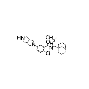 O=C(NCC12CCCC(CCC1)C2)c1cc(N2CC3CNCC3C2)ccc1Cl.[CH2]